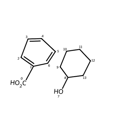 O=C(O)c1ccccc1.OC1CCCCC1